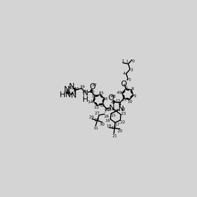 CC(C)CCCOc1cccc(C2=NC3(CCC(C(C)(C)C)CC3)N([C@H](CCC(C)(C)C)c3ccc(C(=O)NCc4nn[nH]n4)cc3)C2=O)c1